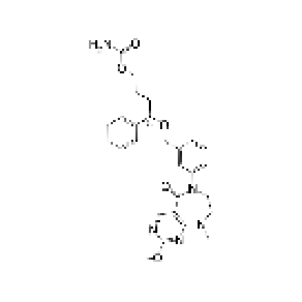 COc1ncc2c(n1)N(C)CCN(c1cccc(CO[C@H](CCCOC(N)=O)c3ccccc3)c1)C2=O